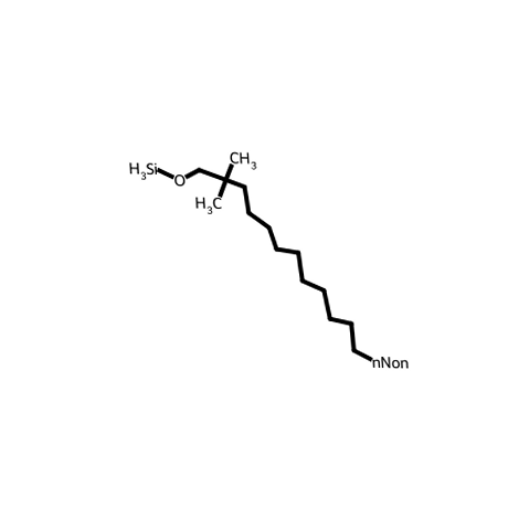 CCCCCCCCCCCCCCCCCCCC(C)(C)CO[SiH3]